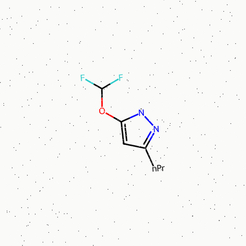 CCCC1=N[N]C(OC(F)F)=C1